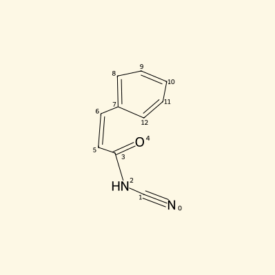 N#CNC(=O)/C=C\c1ccccc1